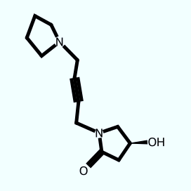 O=C1C[C@H](O)CN1CC#CCN1CCCC1